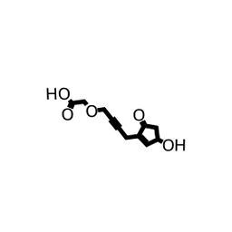 O=C(O)COCC#CCC1=CC(O)CC1=O